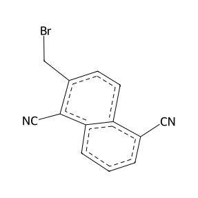 N#Cc1cccc2c(C#N)c(CBr)ccc12